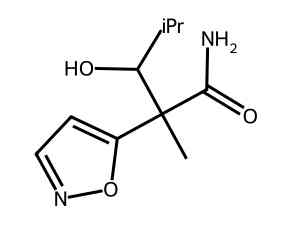 CC(C)C(O)C(C)(C(N)=O)c1ccno1